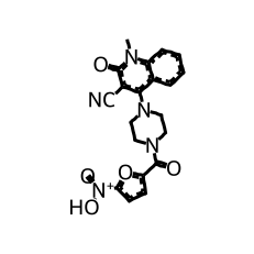 Cn1c(=O)c(C#N)c(N2CCN(C(=O)c3ccc([N+](=O)O)o3)CC2)c2ccccc21